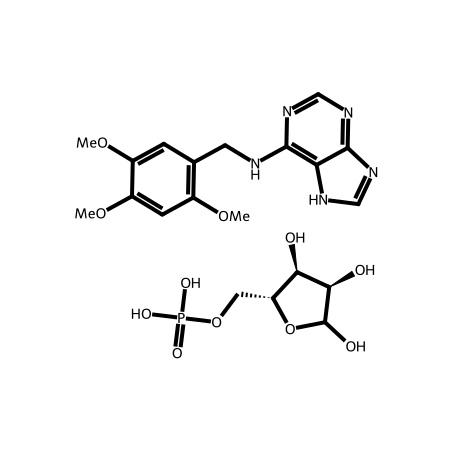 COc1cc(OC)c(OC)cc1CNc1ncnc2nc[nH]c12.O=P(O)(O)OC[C@H]1OC(O)[C@H](O)[C@@H]1O